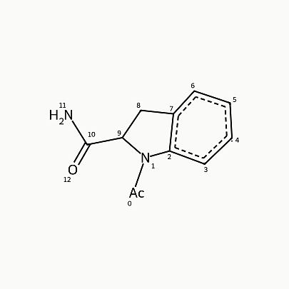 CC(=O)N1c2c[c]ccc2CC1C(N)=O